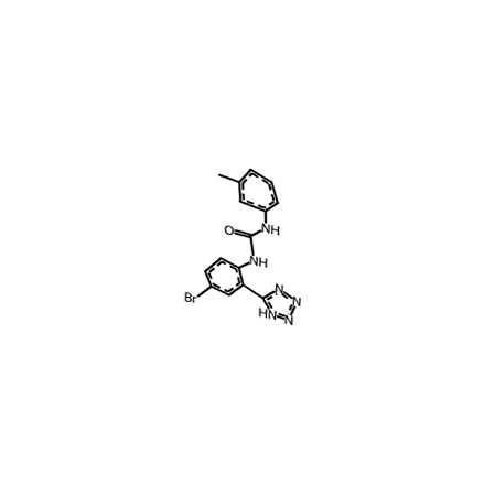 Cc1cccc(NC(=O)Nc2ccc(Br)cc2-c2nnn[nH]2)c1